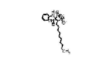 CCCCCCCCCCC([N+](=O)[O-])C(Nc1ccccc1)([N+](=O)[O-])[N+](=O)[O-]